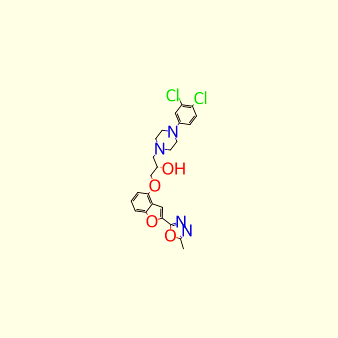 Cc1nnc(-c2cc3c(OC[C@@H](O)CN4CCN(c5ccc(Cl)c(Cl)c5)CC4)cccc3o2)o1